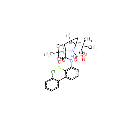 CC(C)(C)[C@]1(C(=O)Nc2cccc(-c3ccccc3Cl)c2F)C[C@H]2C[C@@]2(C(C)(C)C)N1C(=O)O